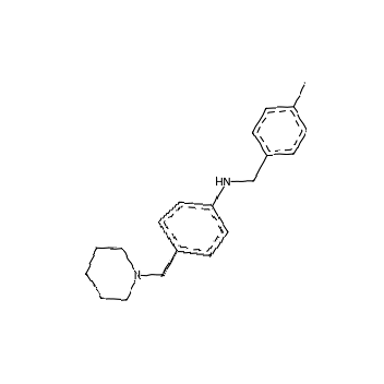 Cc1ccc(CNc2ccc(CN3CCCCC3)cc2)cc1